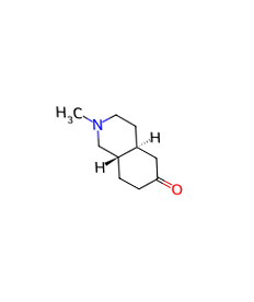 CN1CC[C@H]2CC(=O)CC[C@@H]2C1